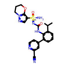 CC(C)c1cccc(-c2ccnc(C#N)c2)c1NC(=O)N=[S@@](N)(=O)c1cnn2c1OCCC2